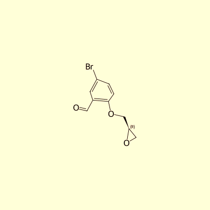 O=Cc1cc(Br)ccc1OC[C@H]1CO1